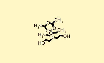 CC(=O)OC(C)C.CCOCC.OCCOCCO